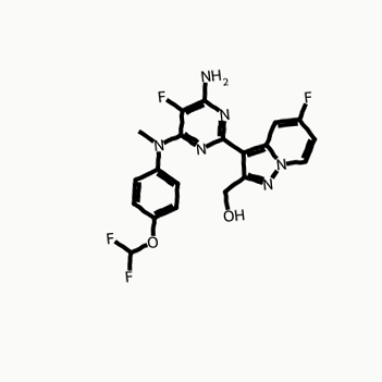 CN(c1ccc(OC(F)F)cc1)c1nc(-c2c(CO)nn3ccc(F)cc23)nc(N)c1F